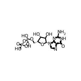 Nc1nc2c(ncn2[C@@H]2O[C@H](COP(=O)(O)OP(=O)(O)O)[C@H](O)C2O)c(=O)[nH]1